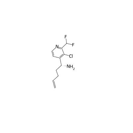 C=CCC[C@@H](N)c1ccnc(C(F)F)c1Cl